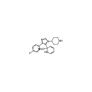 COC1(c2c(-c3ccc(F)cc3)ncn2C2CCNCC2)C=CC=CN1